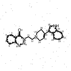 O=c1c2ccccc2nnn1CCN1CC=C(c2c[nH]c3ccccc23)CC1